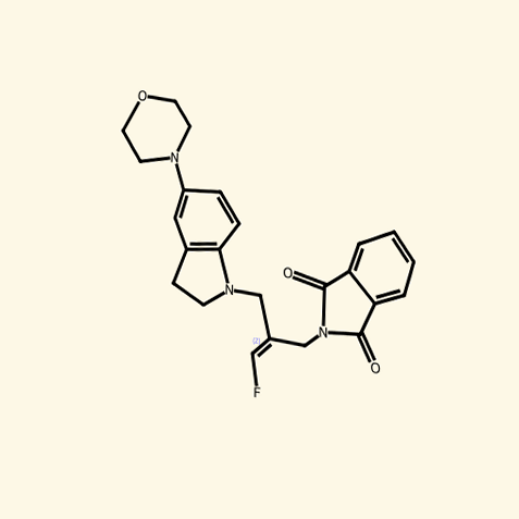 O=C1c2ccccc2C(=O)N1C/C(=C\F)CN1CCc2cc(N3CCOCC3)ccc21